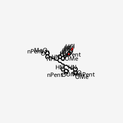 CCCCCOc1c(OC)ccc2c1CCNC2CCCCC(CCCCC(CCCCC1NCCc2c1ccc(OC)c2OCCCCC)C1NCCc2c1ccc(OC)c2OCCCCC)C1NCCc2c1ccc(OC)c2OCCCCC.Cl.Cl.Cl.Cl.O.O.O.O